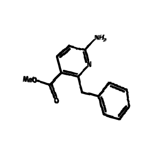 COC(=O)c1ccc(N)nc1Cc1ccccc1